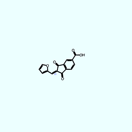 O=C(O)c1ccc2c(c1)C(=O)/C(=C\c1ccco1)C2=O